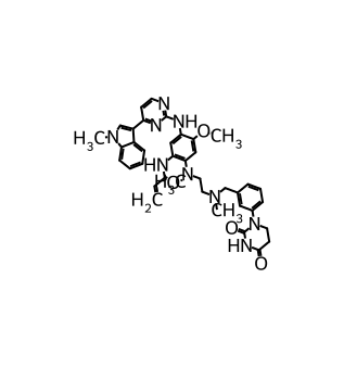 C=CC(=O)Nc1cc(Nc2nccc(-c3cn(C)c4ccccc34)n2)c(OC)cc1N(C)CCN(C)Cc1cccc(N2CCC(=O)NC2=O)c1